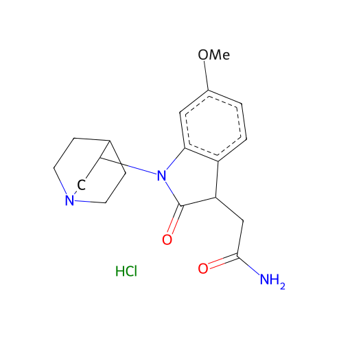 COc1ccc2c(c1)N(C1CN3CCC1CC3)C(=O)C2CC(N)=O.Cl